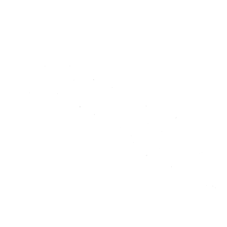 CCCc1ccc(C2CCC(CCc3ccc(-c4ccc(CC)cc4)c(F)c3F)CC2)cc1F